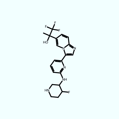 CC(O)(c1ccc2ncc(-c3cccc(NC4CNCCC4F)n3)n2c1)C(F)(F)F